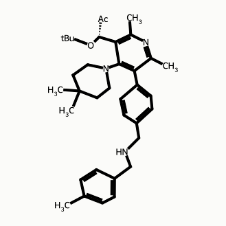 CC(=O)[C@@H](OC(C)(C)C)c1c(C)nc(C)c(-c2ccc(CNCc3ccc(C)cc3)cc2)c1N1CCC(C)(C)CC1